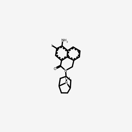 CN1C2CCC1CC(N1Cc3cccc4c(N)c(I)cc(c34)C1=O)C2